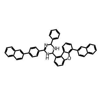 c1ccc(C2N=C(c3ccc(-c4ccc5ccccc5c4)cc3)NC(c3cccc4oc5c(-c6ccc7ccccc7c6)cccc5c34)N2)cc1